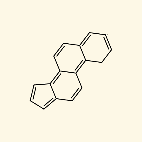 [C]1=CCc2c(ccc3c4c([c]cc23)=CC=C4)=C1